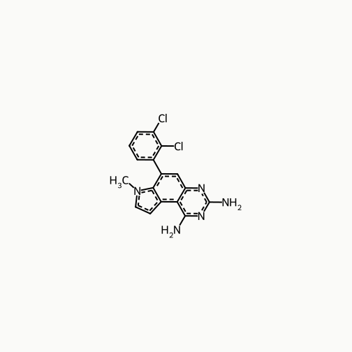 Cn1ccc2c3c(N)nc(N)nc3cc(-c3cccc(Cl)c3Cl)c21